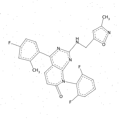 Cc1cc(CNc2nc(-c3ccc(F)cc3C)c3ccc(=O)n(-c4c(F)cccc4F)c3n2)on1